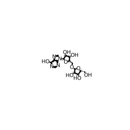 OC[C@H]1OC(OC[C@H]2O[C@@H](n3cnc4c(O)ncnc43)[C@H](O)[C@@H]2O)[C@H](O)[C@H]1O